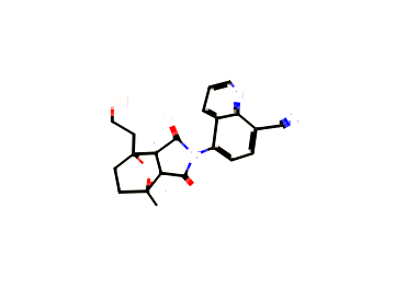 CC12CCC(CCO)(O1)[C@H]1C(=O)N(c3ccc(C#N)c4ncccc34)C(=O)[C@H]12